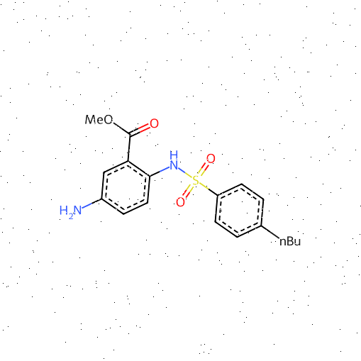 CCCCc1ccc(S(=O)(=O)Nc2ccc(N)cc2C(=O)OC)cc1